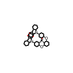 S=P12c3cc(-n4c5ccccc5c5ccccc54)ccc3Oc3cccc(c31)Oc1ccc(-n3c4ccccc4c4ccccc43)cc12